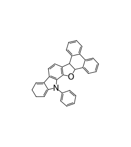 C1=c2c(n(-c3ccccc3)c3c4c(ccc23)C2c3ccccc3-c3ccccc3C2O4)=CCC1